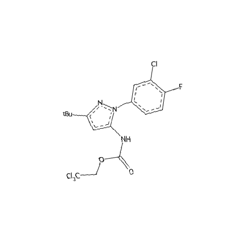 CC(C)(C)c1cc(NC(=O)OCC(Cl)(Cl)Cl)n(-c2ccc(F)c(Cl)c2)n1